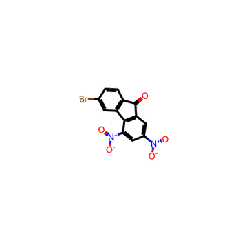 O=C1c2ccc(Br)cc2-c2c1cc([N+](=O)[O-])cc2[N+](=O)[O-]